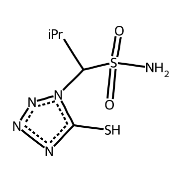 CC(C)C(n1nnnc1S)S(N)(=O)=O